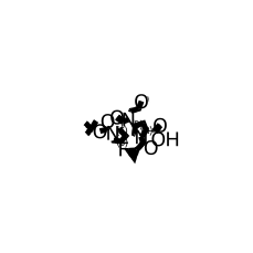 COCCN(C(=O)[C@@H]1C[C@H](F)CN1C(=O)OC(C)(C)C)[C@@H]1C[C@H](C(=O)O)N(C(=O)C2CC2)C1